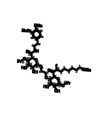 CNCCCCCCN(C)C(=O)C1O[C@@H](OC(C)C)[C@@H](O)[C@@H](O)[C@@H]1OCCO[C@@H]1OC(C(=O)NCCc2ccc(OC)c(OC)c2)[C@@H](OC(C)C)[C@H](O)[C@@H]1O